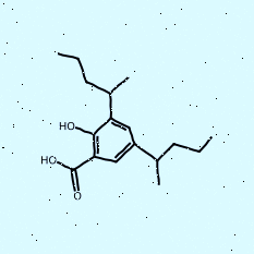 CCCC(C)c1cc(C(=O)O)c(O)c(C(C)CCC)c1